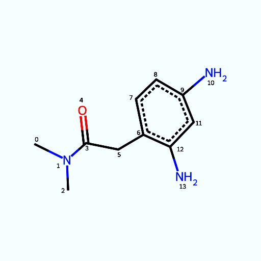 CN(C)C(=O)Cc1ccc(N)cc1N